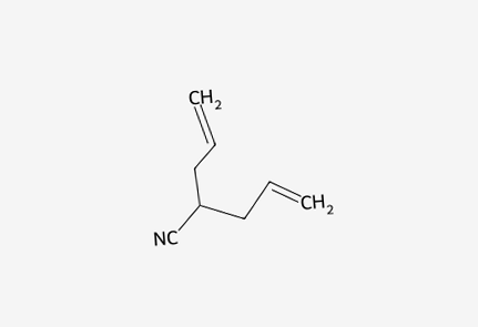 C=CCC(C#N)CC=C